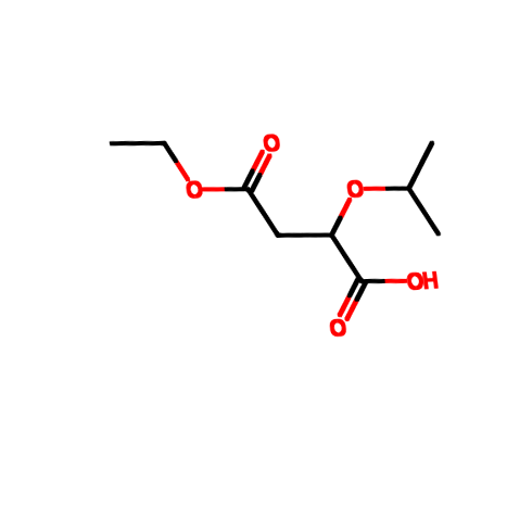 CCOC(=O)CC(OC(C)C)C(=O)O